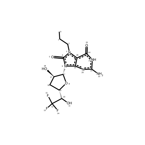 CCCn1c(=O)n([C@@H]2O[C@H](C(O)C(F)(F)F)C[C@H]2O)c2nc(N)[nH]c(=O)c21